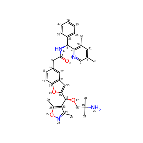 Cc1cnc([C@@H](NC(=O)Cc2ccc3oc([C@@H](OCC(C)(C)N)c4c(C)noc4C)cc3c2)c2ccccc2)c(C)c1